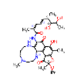 C/C(=C/C=C/[C@H](C)[C@H](O)C(C)O)C(=O)NC1=C2NCCCN(C)CC/N=C\2c2c(c(O)c(C)c3c2C(=O)[C@@](C)(OC(C)C)O3)C1=O